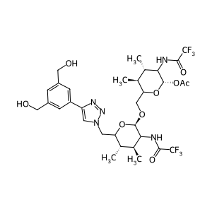 CC(=O)O[C@@H]1OC(CO[C@@H]2OC(Cn3cc(-c4cc(CO)cc(CO)c4)nn3)[C@@H](C)[C@H](C)C2NC(=O)C(F)(F)F)[C@@H](C)[C@H](C)C1NC(=O)C(F)(F)F